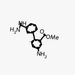 COC(=O)c1cc(N)c[c]c1-c1cccc(C(=N)N)c1